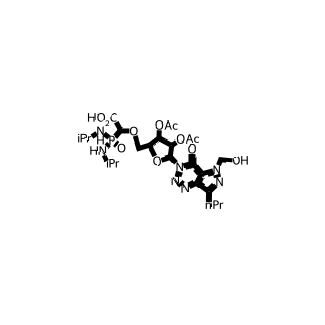 CCCc1nn(CO)c2c(=O)n(C3OC(COC(C(=O)O)P(=O)(NC(C)C)NC(C)C)C(OC(C)=O)C3OC(C)=O)nnc12